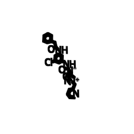 O=C(Cc1ccccc1)Nc1cc(Cl)cc(NC(=O)[N-]c2c[n+](Cc3ccccn3)no2)c1